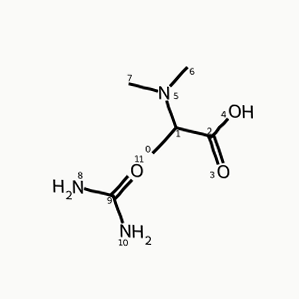 CC(C(=O)O)N(C)C.NC(N)=O